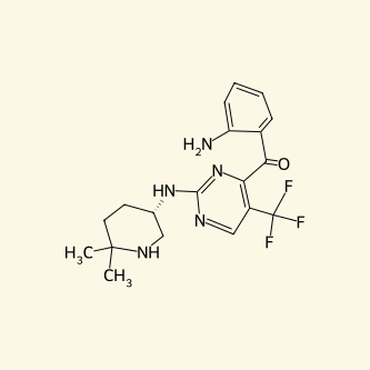 CC1(C)CC[C@H](Nc2ncc(C(F)(F)F)c(C(=O)c3ccccc3N)n2)CN1